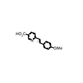 COc1ccc(/C=C/c2ccc(C(=O)O)cn2)cc1